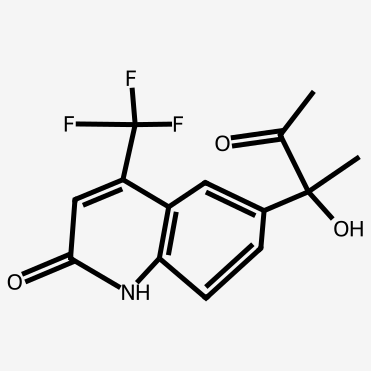 CC(=O)C(C)(O)c1ccc2[nH]c(=O)cc(C(F)(F)F)c2c1